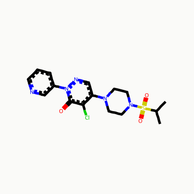 CC(C)S(=O)(=O)N1CCN(c2cnn(-c3cccnc3)c(=O)c2Cl)CC1